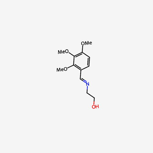 COc1ccc(/C=N/CCO)c(OC)c1OC